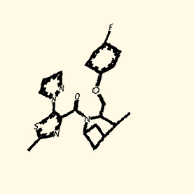 Cc1nc(C(=O)N2C3CC(C3)C(C)C2COc2ccc(F)cc2)c(-n2cccn2)s1